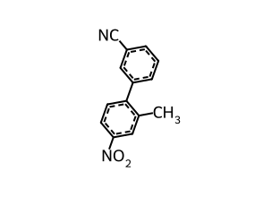 Cc1cc([N+](=O)[O-])ccc1-c1cccc(C#N)c1